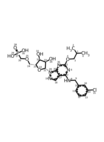 CC(C)COc1nc(NCc2cccc(Cl)c2)c2cnn([C@@H]3O[C@H](COCP(=O)(O)O)[C@@H](O)[C@H]3O)c2n1